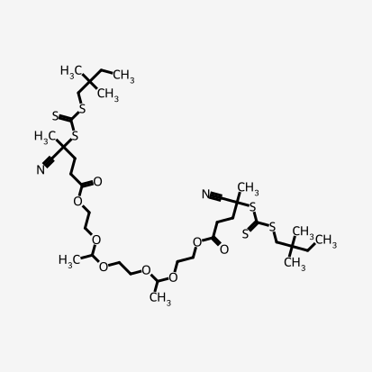 CCC(C)(C)CSC(=S)SC(C)(C#N)CCC(=O)OCCOC(C)OCCOC(C)OCCOC(=O)CCC(C)(C#N)SC(=S)SCC(C)(C)CC